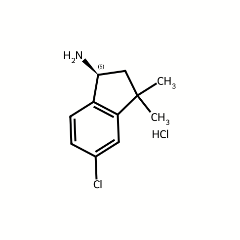 CC1(C)C[C@H](N)c2ccc(Cl)cc21.Cl